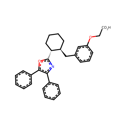 O=C(O)COc1cccc(C[C@@H]2CCCC[C@H]2c2nc(-c3ccccc3)c(-c3ccccc3)o2)c1